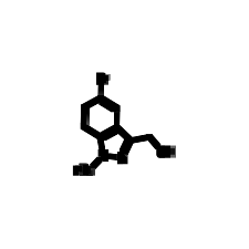 CCCCn1nc(CO)c2cc(Br)ccc21